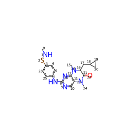 CNSc1ccc(Nc2ncc3c(n2)N(C)C(CC2CC2)C(=O)N3C)cc1